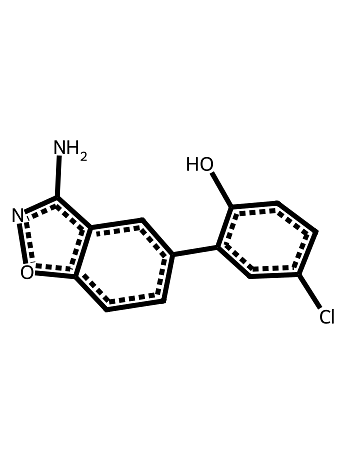 Nc1noc2ccc(-c3cc(Cl)ccc3O)cc12